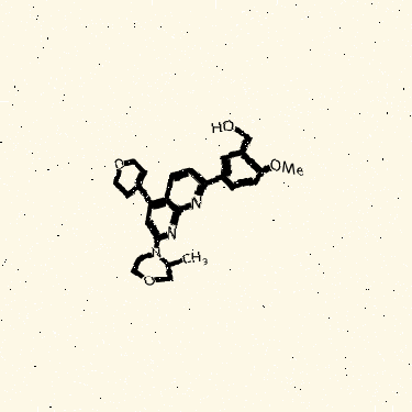 COc1ccc(-c2ccc3c(C4=CCOCC4)cc(N4CCOCC4C)nc3n2)cc1CO